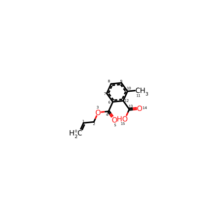 C=CCOC(=O)c1cccc(C)c1C(=O)O